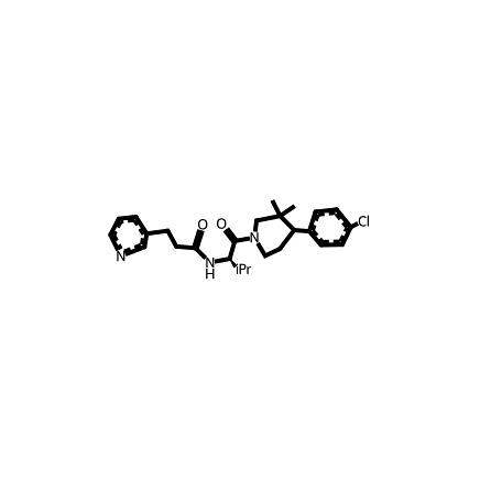 CC(C)[C@@H](NC(=O)CCc1cccnc1)C(=O)N1CCC(c2ccc(Cl)cc2)C(C)(C)C1